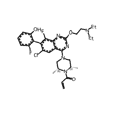 C=CC(=O)N1[C@H](C)CN(c2nc(OCCN(CC)CC)nc3c(F)c(-c4c(O)cccc4F)c(Cl)cc23)C[C@@H]1C